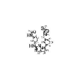 CC(=O)Nc1cccc(Nc2ncc3ccc(-c4cccc(CNCS(C)(=O)=O)c4)n3n2)c1